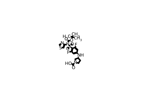 CC(C)(C)OC(=O)N(c1cscn1)S(=O)(=O)c1c(F)cc(N[C@H]2CCN(C(=O)O)C2)cc1F